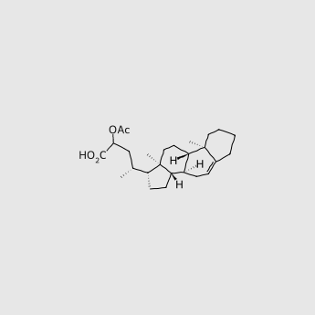 CC(=O)OC(C[C@@H](C)[C@H]1CC[C@H]2[C@@H]3CC=C4CCCC[C@]4(C)[C@H]3CC[C@]12C)C(=O)O